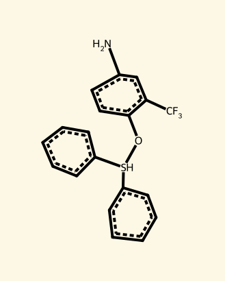 Nc1ccc(O[SH](c2ccccc2)c2ccccc2)c(C(F)(F)F)c1